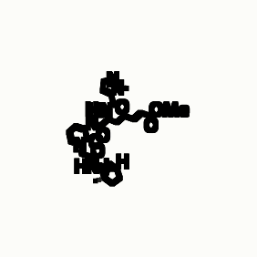 COC(=O)/C=C/CC[C@H](NC(=O)c1ccnn1C)C(=O)Nc1cccn(CC(=O)N[C@H]2C[C@H]3CC[C@]2(C)C3(C)C)c1=O